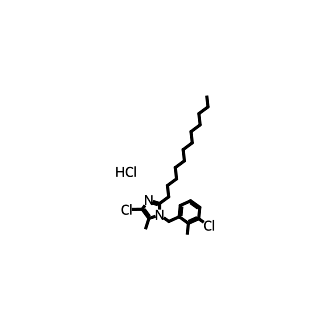 CCCCCCCCCCCCc1nc(Cl)c(C)n1Cc1cccc(Cl)c1C.Cl